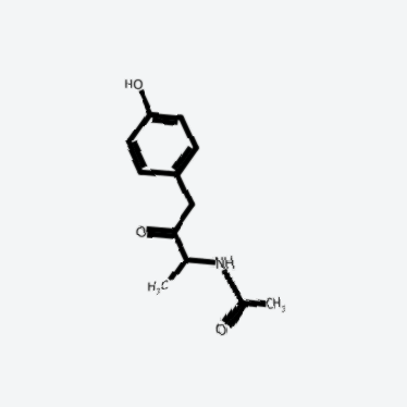 CC(=O)NC(C)C(=O)Cc1ccc(O)cc1